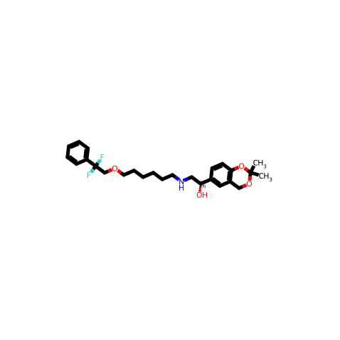 CC1(C)OCc2cc([C@@H](O)CNCCCCCCOCC(F)(F)c3ccccc3)ccc2O1